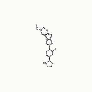 COc1ccc2sc3nc(-c4ccc(C5CCCN5)cc4F)cn3c2c1